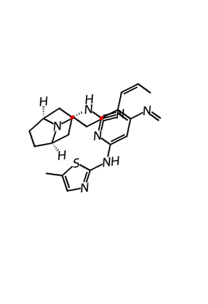 C=Nc1cc(Nc2ncc(C)s2)nc(N[C@@H]2C[C@H]3CC[C@@H](C2)N3CCC#N)c1/C=C\C